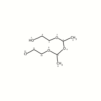 CC(OCCO)OC(C)OCCCl